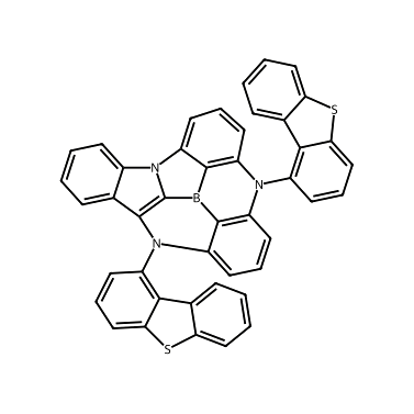 c1cc2c3c(c1)N(c1cccc4sc5ccccc5c14)c1c4n(c5ccccc15)-c1cccc(c1B34)N2c1cccc2sc3ccccc3c12